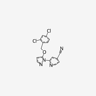 N#Cc1ccnc(-n2nccc2OCc2ccc(Cl)cc2Cl)c1